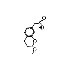 COC1CCc2ccc(C[SH](=O)=O)cc2O1